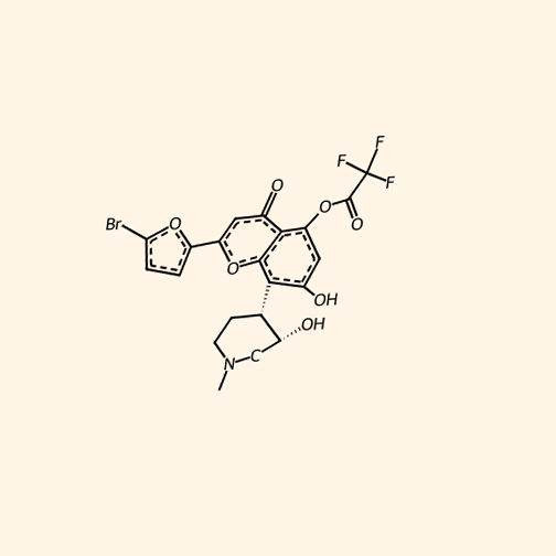 CN1CC[C@H](c2c(O)cc(OC(=O)C(F)(F)F)c3c(=O)cc(-c4ccc(Br)o4)oc23)[C@H](O)C1